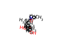 Cc1ccc2c(c1)CCCN2C(=O)CC[C@@H](C)[C@H]1CC[C@H]2[C@@H]3[C@H](O)C[C@@H]4C[C@H](O)CC[C@]4(C)[C@H]3CC[C@]12C